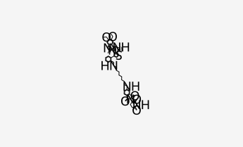 COc1cc2nc(C)nc(N[C@H](C)c3cc(-c4ccccc4CNCCCCCCCCNc4ccc5c(c4)C(=O)N(C4CCC(=O)NC4=O)C5=O)cs3)c2cc1OC